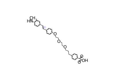 CNc1ccc(/C=C/c2ccc(OCCOCCOCCCc3ccc(S(=O)(=O)O)cc3)cc2)cc1